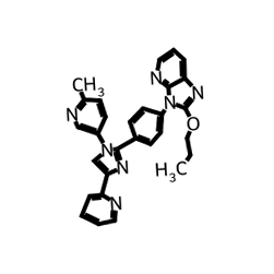 CCCOc1nc2cccnc2n1-c1ccc(-c2nc(-c3ccccn3)cn2-c2ccc(C)nc2)cc1